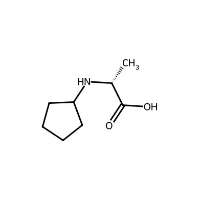 C[C@@H](NC1CCCC1)C(=O)O